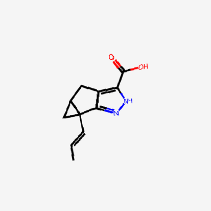 CC=CC12CC1Cc1c2n[nH]c1C(=O)O